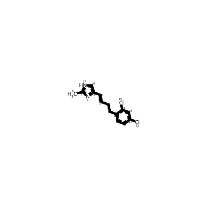 Cc1nc(C=CCCc2ccc(Cl)cc2Cl)c[nH]1